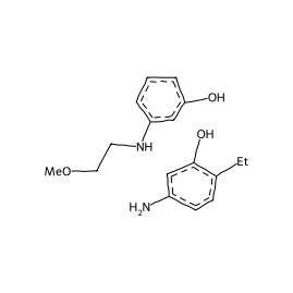 CCc1ccc(N)cc1O.COCCNc1cccc(O)c1